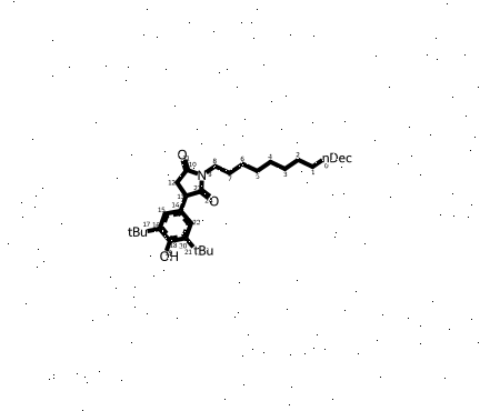 CCCCCCCCCCCCCCCCCCN1C(=O)CC(c2cc(C(C)(C)C)c(O)c(C(C)(C)C)c2)C1=O